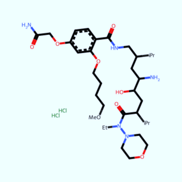 CCN(C(=O)C(CC(O)C(N)CC(CNC(=O)c1ccc(OCC(N)=O)cc1OCCCCOC)C(C)C)C(C)C)N1CCOCC1.Cl.Cl